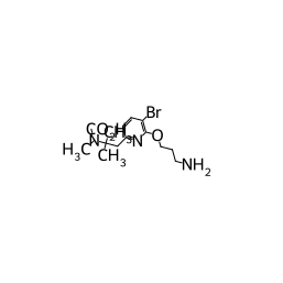 CN(C(=O)O)C(C)(C)Cc1ccc(Br)c(OCCCN)n1